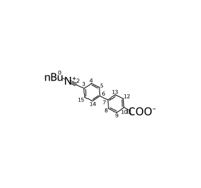 CCCC[N+]#Cc1ccc(-c2ccc(C(=O)[O-])cc2)cc1